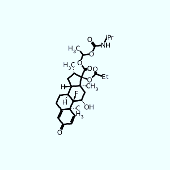 CCC(=O)O[C@]1(C(=O)OC(C)OC(=O)NC(C)C)[C@@H](C)C[C@H]2[C@@H]3CCC4=CC(=O)C=C[C@]4(C)[C@@]3(F)[C@@H](O)C[C@@]21C